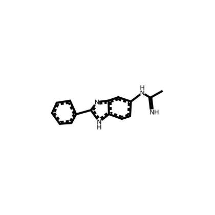 CC(=N)Nc1ccc2[nH]c(-c3ccccc3)nc2c1